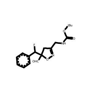 CC(C)(C)OC(=O)NCC1=NOC(C=O)(C(F)c2ccccc2)C1